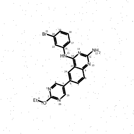 CCOc1ncc(-c2ccc3nc(N)nc(Nc4cccc(Br)c4)c3c2)cn1